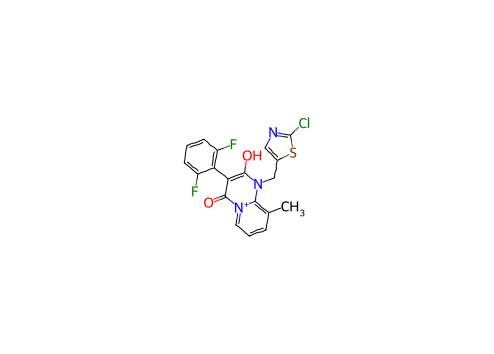 Cc1ccc[n+]2c(=O)c(-c3c(F)cccc3F)c(O)n(Cc3cnc(Cl)s3)c12